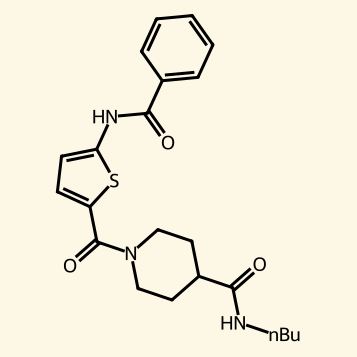 CCCCNC(=O)C1CCN(C(=O)c2ccc(NC(=O)c3ccccc3)s2)CC1